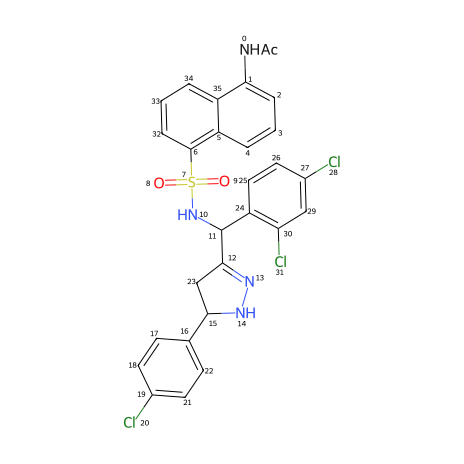 CC(=O)Nc1cccc2c(S(=O)(=O)NC(C3=NNC(c4ccc(Cl)cc4)C3)c3ccc(Cl)cc3Cl)cccc12